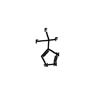 FC(F)(F)C1=C[N]N=N1